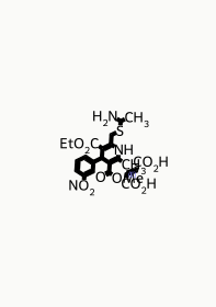 CCOC(=O)C1=C(CSC(C)N)NC(C)=C(C(=O)OC)C1c1cccc([N+](=O)[O-])c1.O=C(O)/C=C/C(=O)O